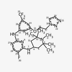 CN1C(C)(C)CC(Nc2nc(Nc3cc(OCCn4ccnn4)cc(C(F)(F)F)c3)ncc2F)CC1(C)C